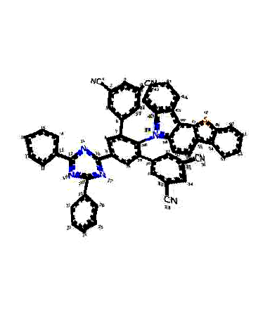 N#Cc1cc(C#N)cc(-c2cc(-c3nc(-c4ccccc4)nc(-c4ccccc4)n3)cc(-c3cc(C#N)cc(C#N)c3)c2-n2c3ccccc3c3c4sc5ccccc5c4ccc32)c1